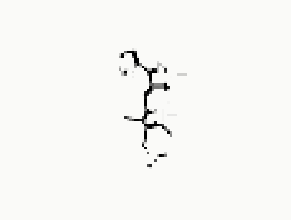 Cc1[nH]c(C=C2C(=O)NN=C2c2ccno2)c(C)c1CN(C)C